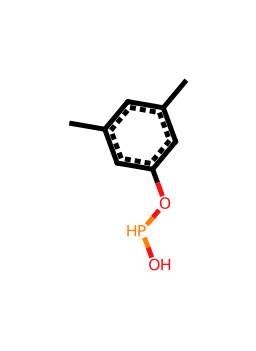 Cc1cc(C)cc(OPO)c1